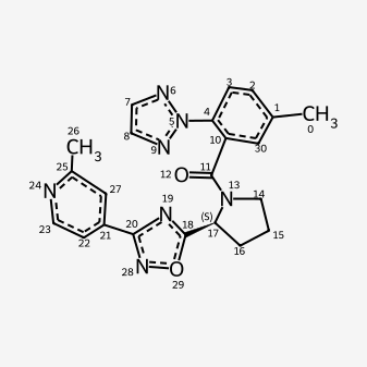 Cc1ccc(-n2nccn2)c(C(=O)N2CCC[C@H]2c2nc(-c3ccnc(C)c3)no2)c1